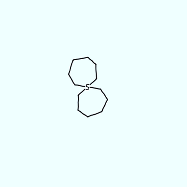 C1CCCS2(CC1)CCCCCC2